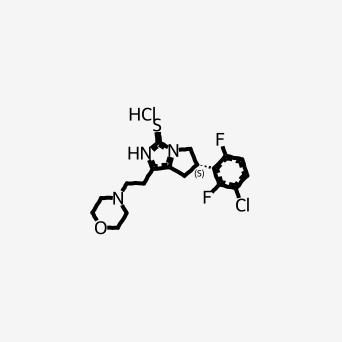 Cl.Fc1ccc(Cl)c(F)c1[C@@H]1Cc2c(CCN3CCOCC3)[nH]c(=S)n2C1